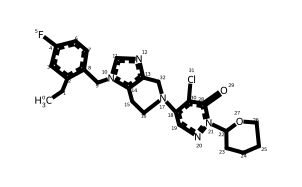 CCc1cc(F)ccc1Cn1cnc2c1CCN(c1cnn(C3CCCCO3)c(=O)c1Cl)C2